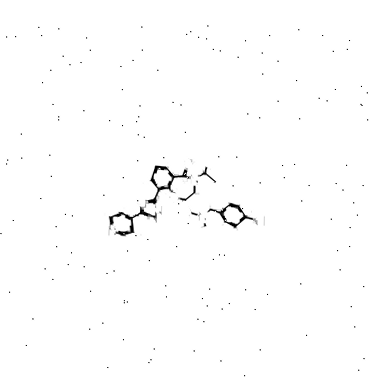 CC(C)N1C[C@@H](CN(C)Cc2ccc(Cl)cc2)Oc2c(cccc2-c2nnc(-c3ccncc3)o2)C1=O